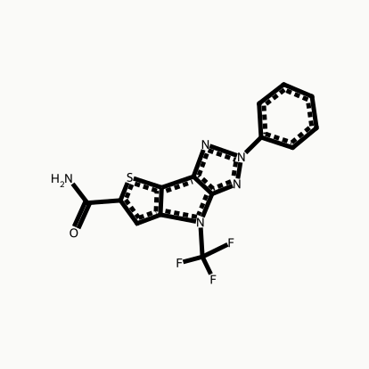 NC(=O)c1cc2c(s1)c1nn(-c3ccccc3)nc1n2C(F)(F)F